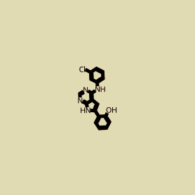 Oc1ccccc1-c1cc2c(Nc3cccc(Cl)c3)ncnc2[nH]1